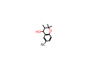 CC1C(O)c2cc(C#N)ccc2OC1(C)C